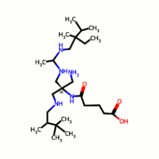 CCC(C)(CNC(C)NC[C@](CN)(CNCC(C)C(C)(C)C)NC(=O)CCCC(=O)O)C(C)C